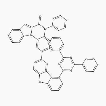 O=c1c2cc3ccccc3n2c2cc(-c3ccc4oc5cccc(-c6nc(-c7ccccc7)nc(-c7ccccc7)n6)c5c4c3)ccc2n1-c1ccccc1